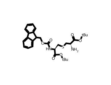 CC(C)(C)OC(=O)[C@H](N)CSC[C@H](NC(=O)OCC1c2ccccc2-c2ccccc21)C(=O)OC(C)(C)C